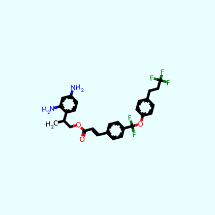 [CH2]C(COC(=O)/C=C/c1ccc(C(F)(F)Oc2ccc(CCC(F)(F)F)cc2)cc1)c1ccc(N)cc1N